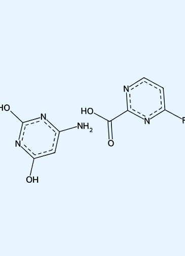 Nc1cc(O)nc(O)n1.O=C(O)c1nccc(F)n1